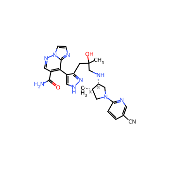 C[C@H]1CN(c2ccc(C#N)cn2)C[C@H]1NCC(C)(O)Cc1n[nH]cc1-c1c(C(N)=O)cnn2ccnc12